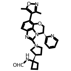 Cc1noc(C)c1-c1ccc2nc(N3CC[C@@H](C4(NC=O)CCC4)C3)n3c2c1OC[C@@H]3c1ccccn1